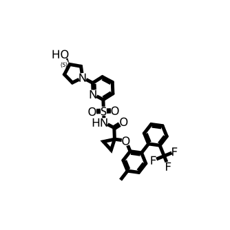 Cc1ccc(-c2ccccc2C(F)(F)F)c(OC2(C(=O)NS(=O)(=O)c3cccc(N4CC[C@H](O)C4)n3)CC2)c1